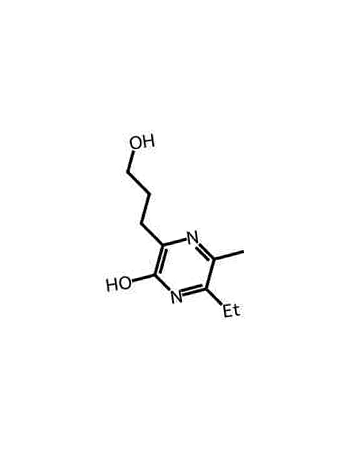 [CH2]Cc1nc(O)c(CCCO)nc1C